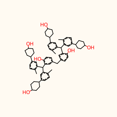 Cc1ccc(C2CCC(O)CC2)cc1C(c1cc(C2CCC(O)CC2)ccc1C)c1cc(Cc2ccc(O)c(C(c3cc(C4CCC(O)CC4)ccc3C)c3cc(C4CCC(O)CC4)ccc3C)c2)ccc1O